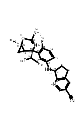 N#Cc1cnc2c(c1)CC[C@@H]2Nc1ccc(F)c([C@@]2(C(F)F)N=C(N)O[C@@H]3CC32)c1